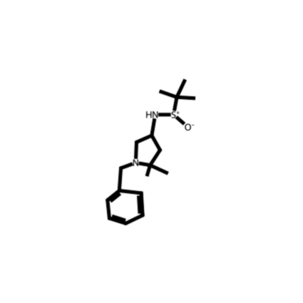 CC1(C)CC(N[S+]([O-])C(C)(C)C)CN1Cc1ccccc1